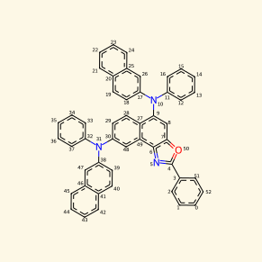 c1ccc(-c2nc3c(cc(N(c4ccccc4)c4ccc5ccccc5c4)c4ccc(N(c5ccccc5)c5ccc6ccccc6c5)cc43)o2)cc1